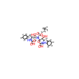 C[Si](C)(C)CCOC(=O)N(CC(O)C(Cc1ccccc1)NC(=O)O)C[C@@H](O)[C@H](Cc1ccccc1)NC(=O)O